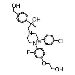 C[C@@](O)(CN1CCN(c2ccc(OCCO)cc2F)[C@H](c2ccc(Cl)cc2)C1)c1ccc(CO)nc1